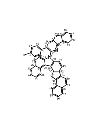 Cc1ccc(-c2nc3sc4ccccc4c3nc2-n2c3ccc4ccccc4c3c3c4sc5c6ccccc6ccc5c4ccc32)cc1